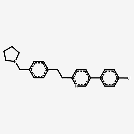 Clc1ccc(-c2ccc(CCc3ccc(CN4CCCC4)cc3)nc2)cc1